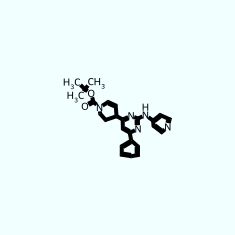 CC(C)(C)OC(=O)N1C=CC(c2cc(-c3ccccc3)nc(Nc3ccncc3)n2)CC1